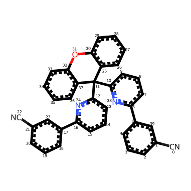 N#Cc1cccc(-c2cccc(C3(c4cccc(-c5cccc(C#N)c5)n4)c4ccccc4Oc4ccccc43)n2)c1